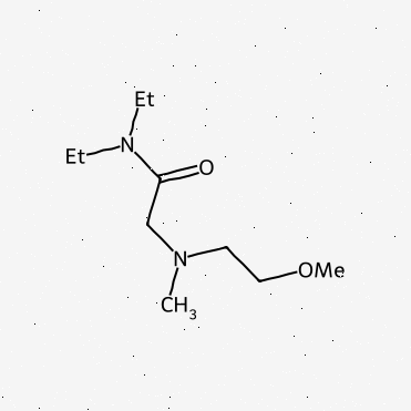 CCN(CC)C(=O)CN(C)CCOC